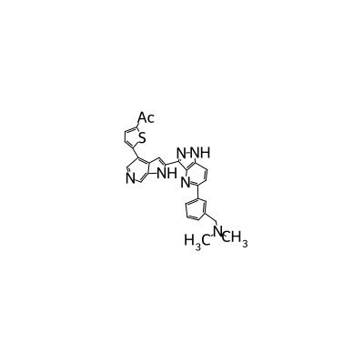 CC(=O)c1ccc(-c2cncc3[nH]c(-c4n[nH]c5ccc(-c6cccc(CN(C)C)c6)nc45)cc23)s1